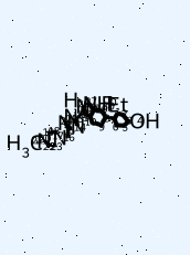 CCc1cc(O)ccc1-c1ccc2c(-c3nc(CN4CCN(C)CC4)n[nH]3)n[nH]c2c1F